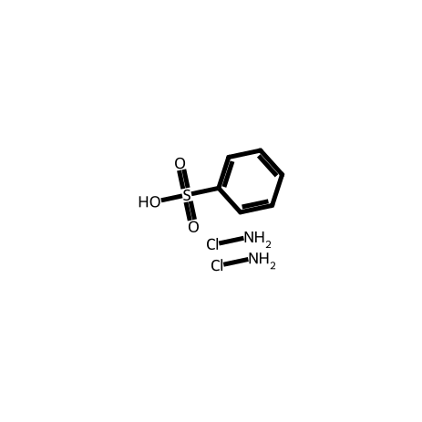 NCl.NCl.O=S(=O)(O)c1ccccc1